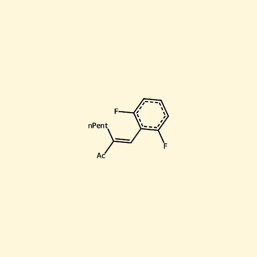 CCCCC/C(=C\c1c(F)cccc1F)C(C)=O